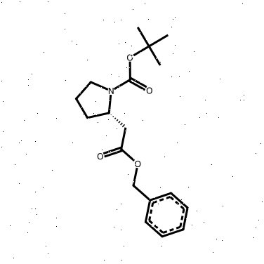 CC(C)(C)OC(=O)N1CCC[C@H]1CC(=O)OCc1ccccc1